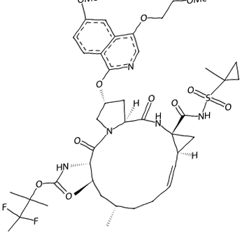 COCCOc1cnc(O[C@@H]2C[C@H]3C(=O)N[C@]4(C(=O)NS(=O)(=O)C5(C)CC5)C[C@H]4/C=C\CC[C@H](C)C[C@@H](C)[C@H](NC(=O)OC(C)(C)C(C)(F)F)C(=O)N3C2)c2ccc(OC)cc12